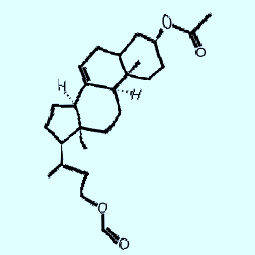 CC(=O)O[C@H]1CC[C@@]2(C)C(CC=C3[C@@H]4CC[C@H](C(C)CCOC=O)[C@@]4(C)CC[C@@H]32)C1